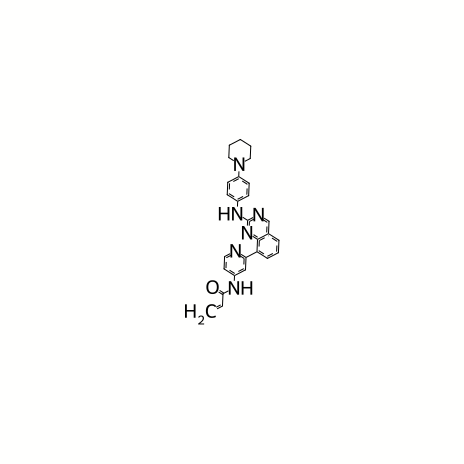 C=CC(=O)Nc1ccnc(-c2cccc3cnc(Nc4ccc(N5CCCCC5)cc4)nc23)c1